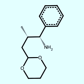 C[C@@H](CC1OCCCO1)[C@@H](N)c1ccccc1